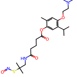 Cc1cc(OCCN(C)C)c(C(C)C)cc1OC(=O)CCCC(=O)NCC(C)(C)SN=O